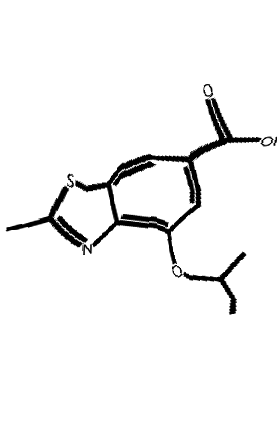 Cc1nc2c(OC(C)C)cc(C(=O)O)cc2s1